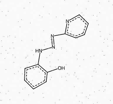 Oc1ccccc1N/N=N/c1ccccn1